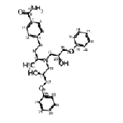 CC(CCc1ccc(C(N)=O)cc1)N(CC(O)COc1ccccc1)CC(O)COc1ccccc1